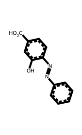 O=C(O)c1ccc(N=Nc2ccccc2)c(O)c1